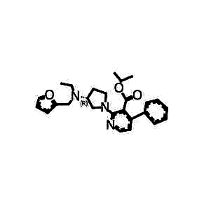 CCN(Cc1ccco1)[C@@H]1CCN(c2nccc(-c3ccccc3)c2C(=O)OC(C)C)C1